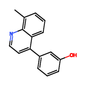 Cc1cccc2c(-c3cccc(O)c3)ccnc12